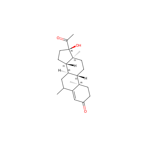 CC(=O)[C@@]1(O)CC[C@H]2[C@@H]3CC(C)C4=CC(=O)CC[C@]4(C)[C@H]3CC[C@@]21C